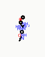 CCCC(C(=O)NC1CCC(Nc2ncnc(N)c2C(=N)c2ccc(Oc3ccccc3)cc2)CC1)N(C)C